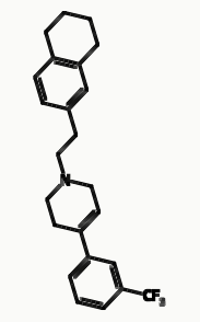 FC(F)(F)c1cccc(C2=CCN(CCc3ccc4c(c3)CCCC4)CC2)c1